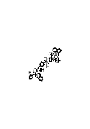 C[C@H](c1ccccc1F)N1Cc2ccccc2C[C@H]1C(=O)NCc1ccc(C(=O)NC2CC(C(=O)N[C@@H]3CCCc4ccccc43)N(C(=O)OC(C)(C)C)C2)cc1